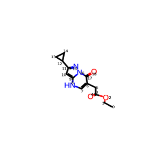 CCOC(=O)Cc1c[nH]c2cc(C3CC3)nn2c1=O